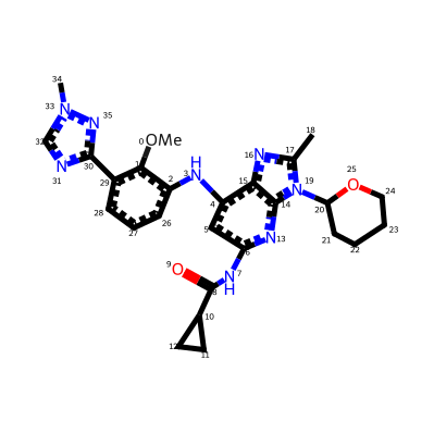 COc1c(Nc2cc(NC(=O)C3CC3)nc3c2nc(C)n3C2CCCCO2)cccc1-c1ncn(C)n1